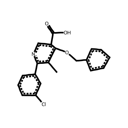 Cc1c(-c2cccc(Cl)c2)ncc(C(=O)O)c1OCc1ccccc1